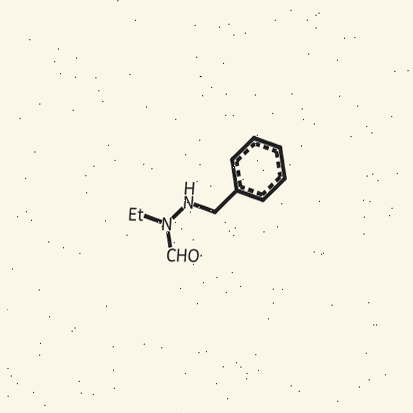 CCN([C]=O)NCc1ccccc1